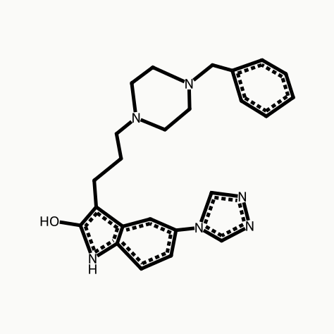 Oc1[nH]c2ccc(-n3cnnc3)cc2c1CCCN1CCN(Cc2ccccc2)CC1